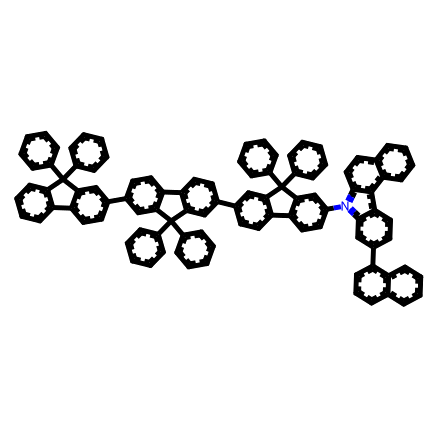 c1ccc(C2(c3ccccc3)c3ccccc3-c3ccc(-c4ccc5c(c4)C(c4ccccc4)(c4ccccc4)c4cc(-c6ccc7c(c6)C(c6ccccc6)(c6ccccc6)c6cc(-n8c9cc(-c%10cccc%11ccccc%10%11)ccc9c9c%10ccccc%10ccc98)ccc6-7)ccc4-5)cc32)cc1